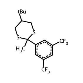 CC1(c2cc(C(F)(F)F)cc(C(F)(F)F)c2)SCC(C(C)(C)C)CS1